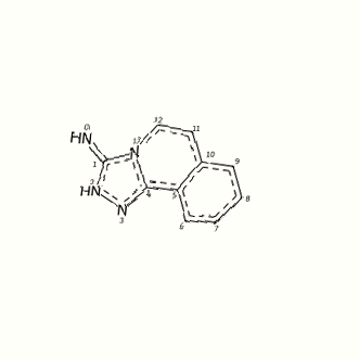 N=c1[nH]nc2c3ccccc3ccn12